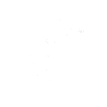 O=C(Cc1c(C(=O)O)[nH]c2ccc(Cl)cc12)Nc1cccc(C(F)(F)F)c1